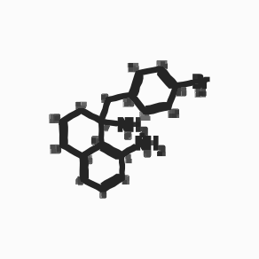 Nc1cccc2c1C(N)(Cc1ccc(Br)cc1)CC=C2